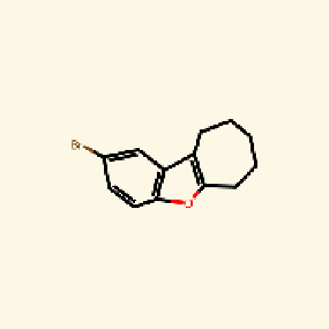 Brc1ccc2oc3c(c2c1)CCCCC3